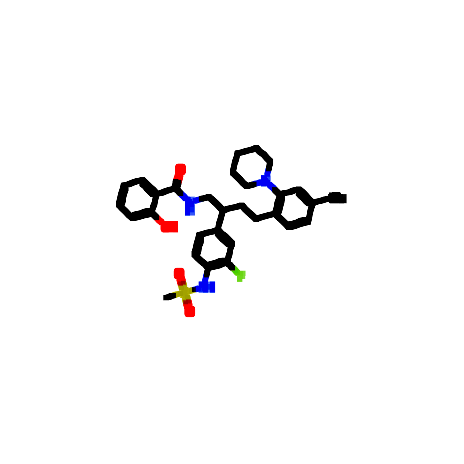 CC(C)(C)c1ccc(CCC(CNC(=O)c2ccccc2O)c2ccc(NS(C)(=O)=O)c(F)c2)c(N2CCCCC2)c1